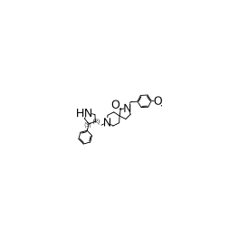 COc1ccc(CN2CCC3(CCN(C[C@H]4CNC[C@@H]4c4ccccc4)CC3)C2=O)cc1